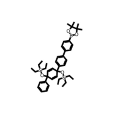 CC[Si](CC)(CC)OC1(c2ccccc2)C=CC(O[Si](CC)(CC)CC)(c2ccc(-c3ccc(B4OC(C)(C)C(C)(C)O4)cc3)cc2)C=C1